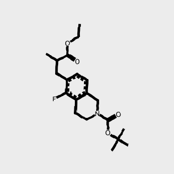 CCOC(=O)C(C)Cc1ccc2c(c1F)CCN(C(=O)OC(C)(C)C)C2